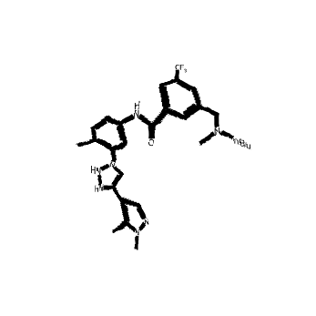 CCCCN(C)Cc1cc(C(=O)Nc2ccc(C)c(N3C=C(c4cnn(C)c4C)NN3)c2)cc(C(F)(F)F)c1